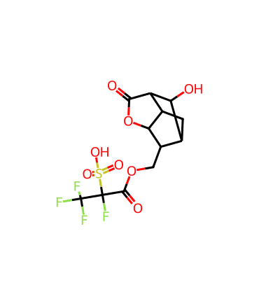 O=C1OC2C(COC(=O)C(F)(C(F)(F)F)S(=O)(=O)O)C3CC2C1C3O